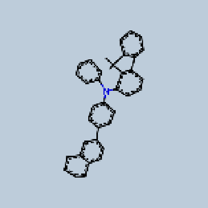 CC1(C)c2ccccc2-c2cccc(N(c3ccccc3)c3ccc(-c4ccc5ccccc5c4)cc3)c21